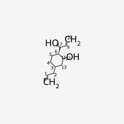 C=CCC1CC[C@@H](C(O)C=C)C(O)C1